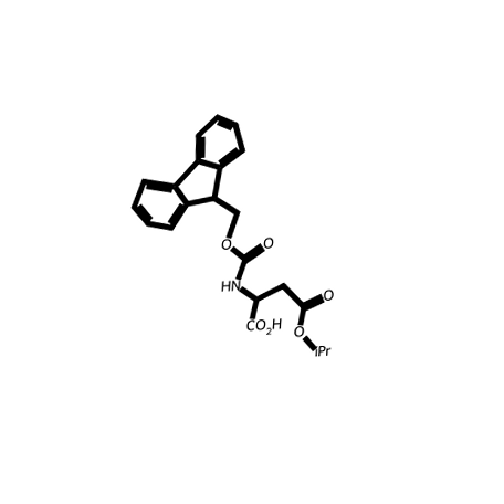 CC(C)OC(=O)CC(NC(=O)OCC1c2ccccc2-c2ccccc21)C(=O)O